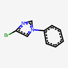 Brc1cn(-c2ccccc2)cn1